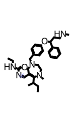 C=C(/N=C\C1=C(C(C)CC)N(C)CCN(Cc2ccc(OC(CCNC)c3ccccc3)cc2)C1=O)NCC